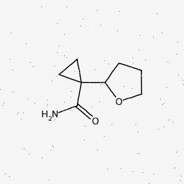 NC(=O)C1(C2CCCO2)CC1